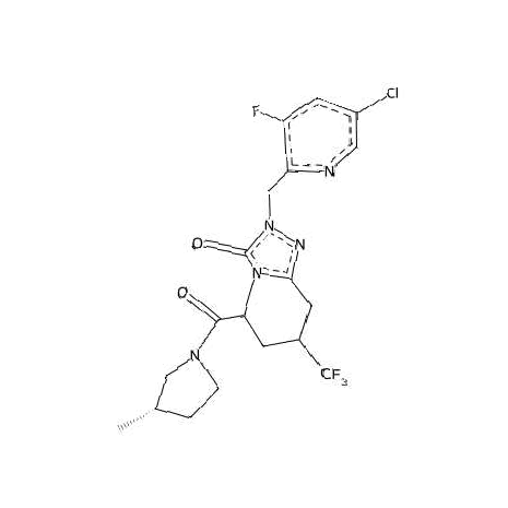 C[C@H]1CCN(C(=O)C2CC(C(F)(F)F)Cc3nn(Cc4ncc(Cl)cc4F)c(=O)n32)C1